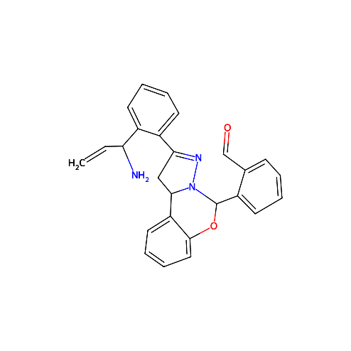 C=CC(N)c1ccccc1C1=NN2C(C1)c1ccccc1OC2c1ccccc1C=O